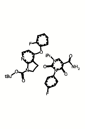 CC(C)(C)OC(=O)N1CCc2c(Oc3ccccc3F)ccnc21.CC(C)n1cc(C(N)=O)c(=O)n(-c2ccc(F)cc2)c1=O